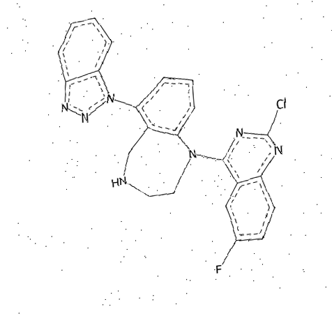 Fc1ccc2nc(Cl)nc(N3CCNCc4c3cccc4-n3nnc4ccccc43)c2c1